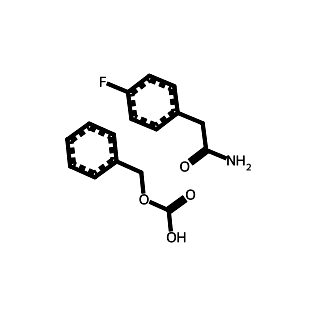 NC(=O)Cc1ccc(F)cc1.O=C(O)OCc1ccccc1